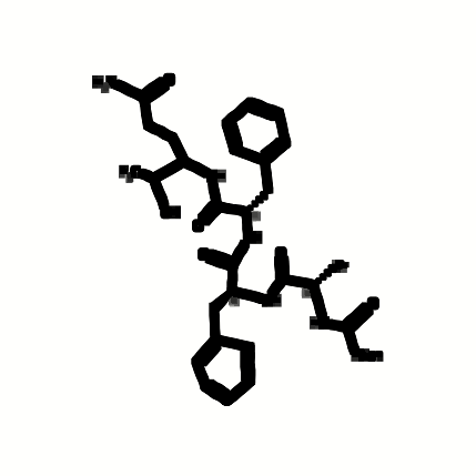 CCCCCCCCCC(=O)N[C@H](C(=O)N[C@@H](Cc1ccccc1)C(=O)N[C@@H](Cc1ccccc1)C(=O)NC(CCC(N)=O)C(O)C(F)(F)F)C(C)C